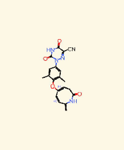 C=C1/C=C\C(Oc2c(C)cc(-n3nc(C#N)c(=O)[nH]c3=O)cc2C)=C/CC(=O)N1